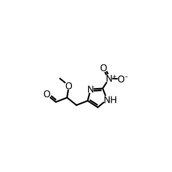 COC(C=O)Cc1c[nH]c([N+](=O)[O-])n1